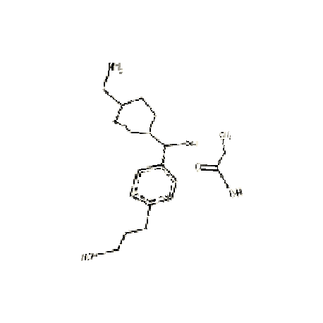 CCC(=O)O.NCC1CCC(C(O)c2ccc(CCCO)cc2)CC1